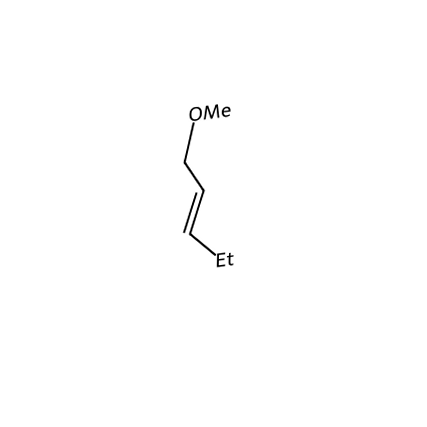 [CH2]OC/C=C/CC